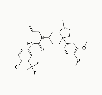 C=CCN(C(=O)Nc1ccc(Cl)c(C(F)(F)F)c1)C1CCC2(c3ccc(OC)c(OC)c3)CCN(C)C2C1